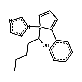 CCCCC(O)S1(n2ccnc2)C=CC=C1c1ccccc1